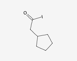 O=C(I)CC1CCCC1